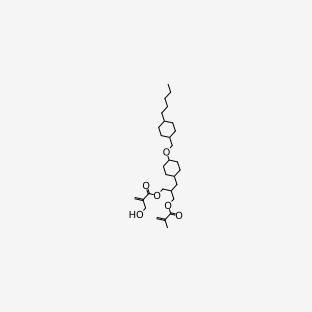 C=C(C)C(=O)OCC(COC(=O)C(=C)CO)CC1CCC(OCC2CCC(CCCCC)CC2)CC1